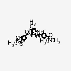 Cc1cc(NC(=O)c2ccc(C(=O)N(C)C)cc2)nc(NC(=O)c2ccc(C(=O)N(C)C)cc2)n1